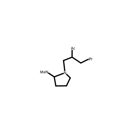 CNC1CCCN1CC(CC(C)C)C(C)=O